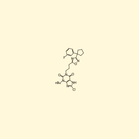 CCCCn1c(=O)n(CCCc2nc(C3(c4cccc(F)c4)CCCC3)no2)c(=O)c2[nH]c(Cl)nc21